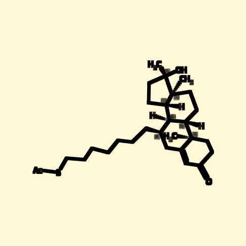 CC(=O)SCCCCCCC[C@@H]1CC2=CC(=O)CC[C@]2(C)[C@H]2CC[C@@]3(C)[C@@H](CC[C@]3(C)O)[C@H]12